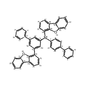 c1ccc(-c2ccc(N(c3cc(-c4ccccc4)cc(-c4cccc5c4oc4ccccc45)c3)c3cccc4c3oc3ccccc34)cc2)cc1